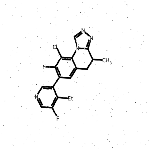 CCc1c(F)cncc1-c1cc2c(c(Cl)c1F)-n1cnnc1C(C)C2